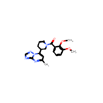 COc1cccc(C(=O)N2CCCC(c3cc(C)nc4ncnn34)C2)c1OC